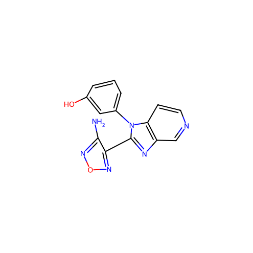 Nc1nonc1-c1nc2cnccc2n1-c1cccc(O)c1